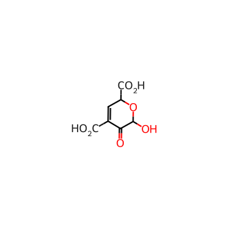 O=C(O)C1=CC(C(=O)O)OC(O)C1=O